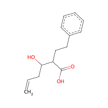 C=CCC(O)C(CCc1ccccc1)C(=O)O